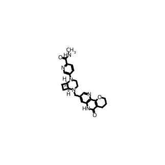 CNC(=O)c1ccc(N2CCN(Cc3cnc4c5c(c(=O)[nH]c4c3)CCCO5)[C@H]3CC[C@H]32)cn1